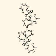 O=P(Oc1ccc(-c2ccc(OP(=O)(c3ccccc3)c3ccccc3)cc2)cc1)(c1ccccc1)c1ccccc1